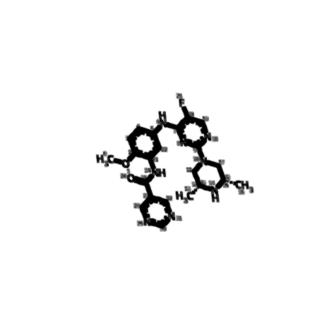 COc1ccc(Nc2nc(N3C[C@@H](C)N[C@@H](C)C3)ncc2F)cc1NC(=O)c1cncnc1